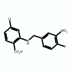 O=C(O)c1ccc(Cl)cc1NCc1ccc(F)c([N+](=O)[O-])c1